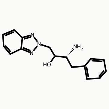 N[C@H](Cc1ccccc1)C(O)Cn1nc2ccccc2n1